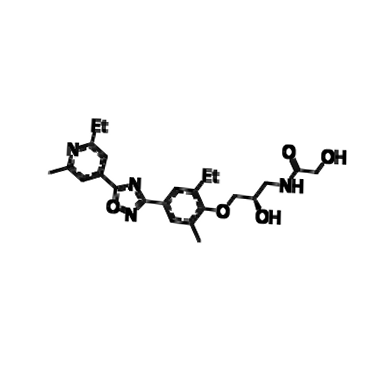 CCc1cc(-c2nc(-c3cc(C)c(OC[C@H](O)CNC(=O)CO)c(CC)c3)no2)cc(C)n1